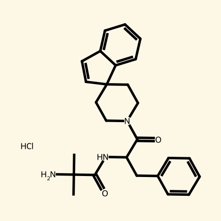 CC(C)(N)C(=O)NC(Cc1ccccc1)C(=O)N1CCC2(C=Cc3ccccc32)CC1.Cl